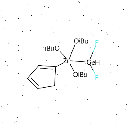 CC(C)C[O][Zr]([O]CC(C)C)([O]CC(C)C)([C]1=CC=CC1)[GeH]([F])[F]